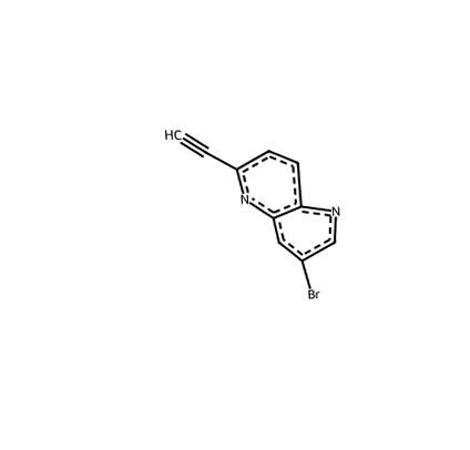 C#Cc1ccc2ncc(Br)cc2n1